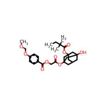 CCC(C)(C)C(=O)OC12CC3CC(O)(CC(OC(=O)COC(=O)c4ccc(OCOC)cc4)(C3)C1)C2